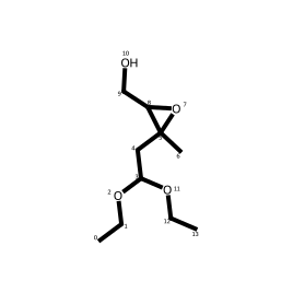 CCOC(CC1(C)OC1CO)OCC